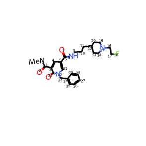 CNC(=O)c1cc(C(=O)NCCCC2CCN(CCF)CC2)cn(Cc2ccccc2)c1=O